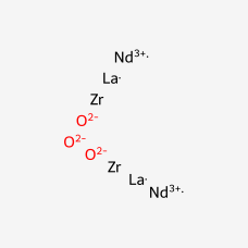 [La].[La].[Nd+3].[Nd+3].[O-2].[O-2].[O-2].[Zr].[Zr]